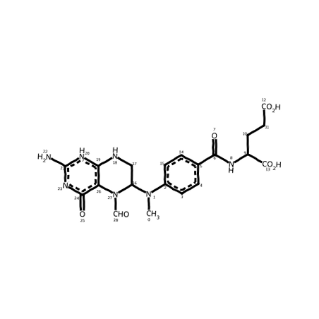 CN(c1ccc(C(=O)NC(CCC(=O)O)C(=O)O)cc1)C1CNc2[nH]c(N)nc(=O)c2N1C=O